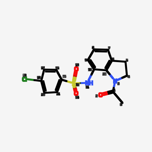 CC(=O)N1CCc2cccc(NS(=O)(=O)c3ccc(Cl)cc3)c21